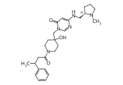 CC(CC(=O)N1CCC(O)(Cn2cnc(NC[C@H]3CCCN3C)cc2=O)CC1)c1ccccc1